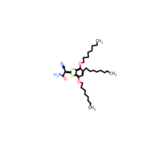 CCCCCCCCOc1cc(CCCCCCCC)c(OCCCCCCCC)c2c1S/C(=C(/C#N)C(N)=O)S2